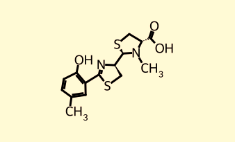 Cc1ccc(O)c(C2=N[C@@H]([C@H]3SC[C@H](C(=O)O)N3C)CS2)c1